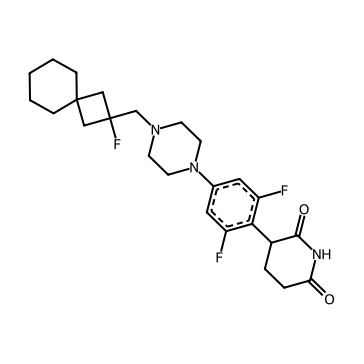 O=C1CCC(c2c(F)cc(N3CCN(CC4(F)CC5(CCCCC5)C4)CC3)cc2F)C(=O)N1